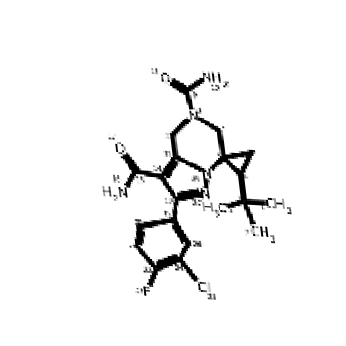 CC(C)(C)C1CC12CN(C(N)=O)Cc1c(C(N)=O)c(-c3ccc(F)c(Cl)c3)nn12